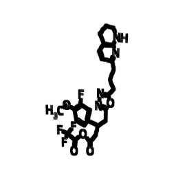 COc1ccc(C(CC(=O)OC(=O)C(F)(F)F)Cc2nnc(CCCc3ccc4c(n3)NCCC4)o2)cc1F